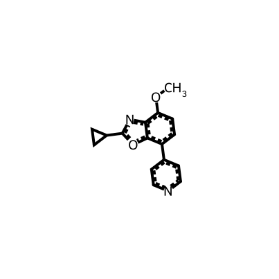 COc1ccc(-c2ccncc2)c2oc(C3CC3)nc12